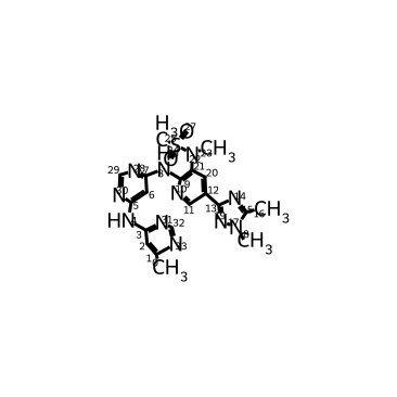 Cc1cc(Nc2cc(Nc3ncc(-c4nc(C)n(C)n4)cc3N(C)S(C)(=O)=O)ncn2)ncn1